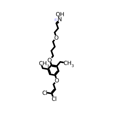 CCc1cc(OCC=C(Cl)Cl)cc(CC)c1OCCCCOCC/C=N/O